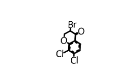 O=C1c2ccc(Cl)c(Cl)c2OCC1Br